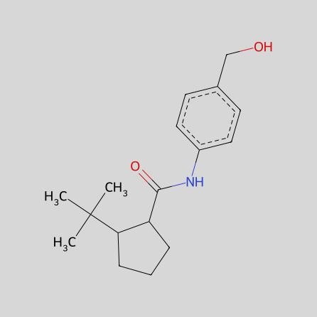 CC(C)(C)C1CCCC1C(=O)Nc1ccc(CO)cc1